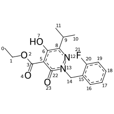 CCOC(=O)c1c(O)c(C(C)C)nn(Cc2ccccc2F)c1=O